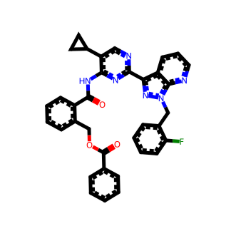 O=C(OCc1ccccc1C(=O)Nc1nc(-c2nn(Cc3ccccc3F)c3ncccc23)ncc1C1CC1)c1ccccc1